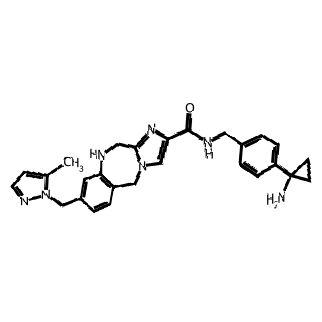 Cc1ccnn1Cc1ccc2c(c1)NCc1nc(C(=O)NCc3ccc(C4(N)CC4)cc3)cn1C2